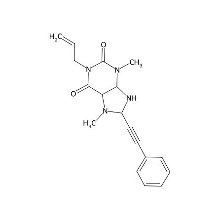 C=CCN1C(=O)C2C(NC(C#Cc3ccccc3)N2C)N(C)C1=O